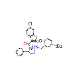 COc1ccc(C(C)(C)C)cc1CNC1CCC(c2ccccc2)N1C(=O)C1CCc2cc(Cl)ccc21